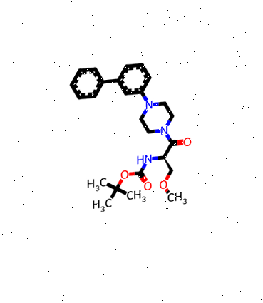 COC[C@@H](NC(=O)OC(C)(C)C)C(=O)N1CCN(c2cccc(-c3ccccc3)c2)CC1